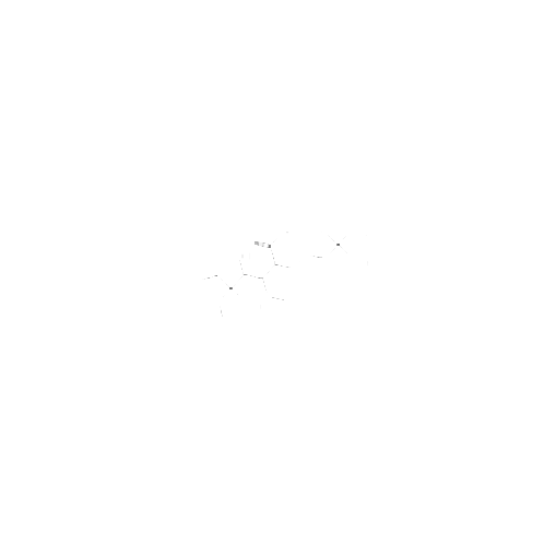 COC(C(OOOC(C)(C)C)C(=O)O)C(O)C(C)(CO)OC